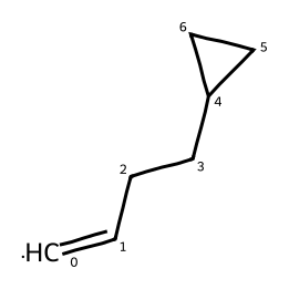 [CH]=CCCC1CC1